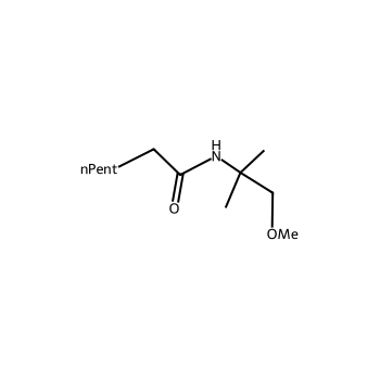 CCCCCCC(=O)NC(C)(C)COC